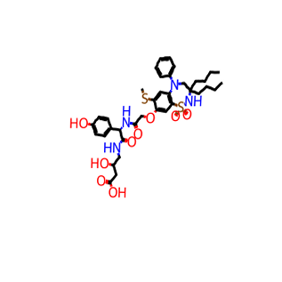 CCCCC1(CCCC)CN(c2ccccc2)c2cc(SC)c(OCC(=O)N[C@@H](C(=O)NCC(O)CC(=O)O)c3ccc(O)cc3)cc2S(=O)(=O)N1